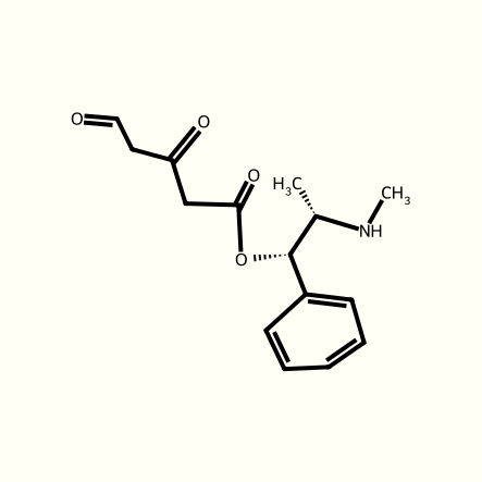 CN[C@@H](C)[C@@H](OC(=O)CC(=O)CC=O)c1ccccc1